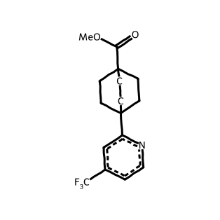 COC(=O)C12CCC(c3cc(C(F)(F)F)ccn3)(CC1)CC2